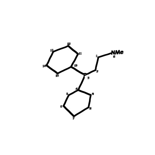 CNCCP(C1CCCCC1)C1CCCCC1